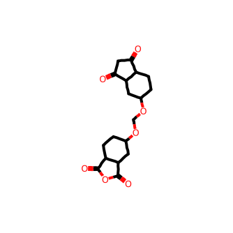 O=C1CC(=O)C2CC(OCOC3CCC4C(=O)OC(=O)C4C3)CCC12